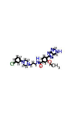 CCOc1cc(C(=O)NCCCN2CCN(c3cccc(Cl)c3)CC2)ccc1-c1nc2c[nH]cnc-2n1